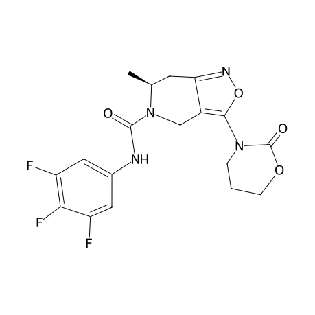 C[C@H]1Cc2noc(N3CCCOC3=O)c2CN1C(=O)Nc1cc(F)c(F)c(F)c1